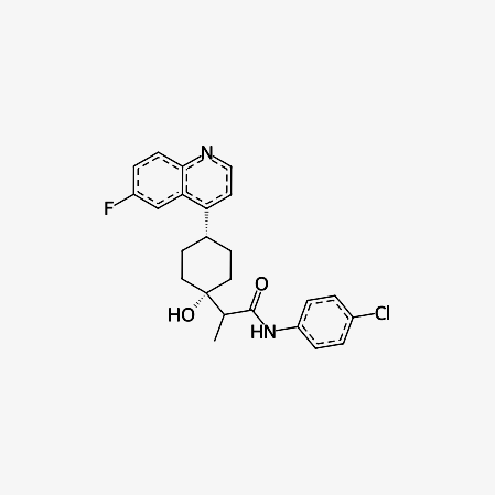 CC(C(=O)Nc1ccc(Cl)cc1)[C@]1(O)CC[C@@H](c2ccnc3ccc(F)cc32)CC1